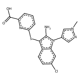 Cn1cc(-n2c(N)c(Sc3cccc(C(=O)O)n3)c3ccc(Cl)cc32)cn1